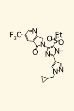 CCS(=O)(=O)c1c(N2Cc3ncc(C(F)(F)F)cc3C2=O)nc(-c2cnn(CC3CC3)c2)n1C